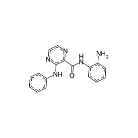 Nc1ccccc1NC(=O)c1nccnc1Nc1ccccc1